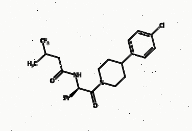 CC(C)[C@@H](NC(=O)CC(C)C(F)(F)F)C(=O)N1CCC(c2ccc(Cl)cc2)CC1